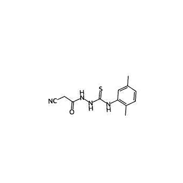 Cc1ccc(C)c(NC(=S)NNC(=O)CC#N)c1